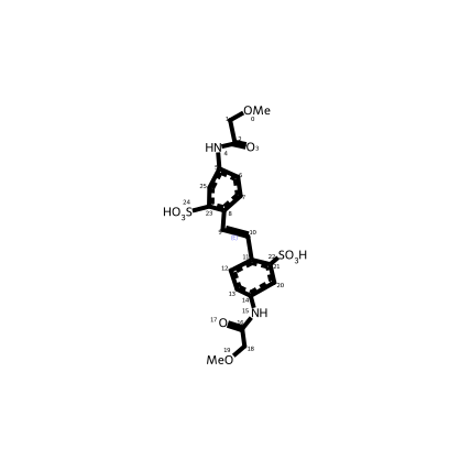 COCC(=O)Nc1ccc(/C=C/c2ccc(NC(=O)COC)cc2S(=O)(=O)O)c(S(=O)(=O)O)c1